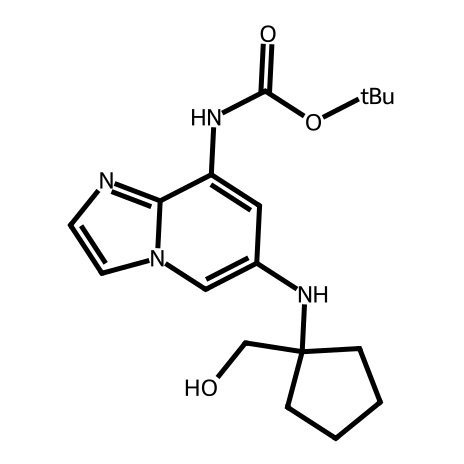 CC(C)(C)OC(=O)Nc1cc(NC2(CO)CCCC2)cn2ccnc12